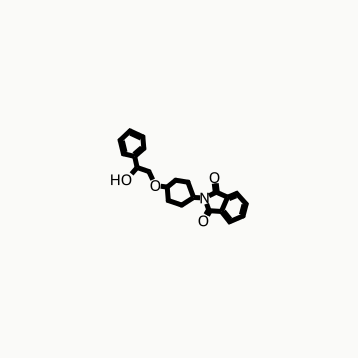 O=C1c2ccccc2C(=O)N1C1CCC(OCC(O)c2ccccc2)CC1